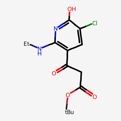 CCNc1nc(O)c(Cl)cc1C(=O)CC(=O)OC(C)(C)C